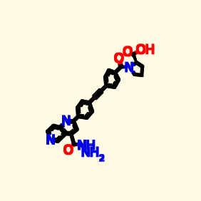 NNC(=O)c1cc(-c2ccc(C#Cc3ccc(C(=O)N4CCC[C@@H]4C(=O)O)cc3)cc2)nc2ccncc12